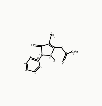 COC(=O)Cc1c(N)c(=O)n(-c2ccccc2)n1C